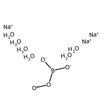 O.O.O.O.O.O.[Na+].[Na+].[Na+].[O-]OB([O-])[O-]